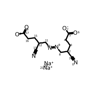 N#CC(CCC(=O)[O-])CN=NCC(C#N)CCC(=O)[O-].[Na+].[Na+]